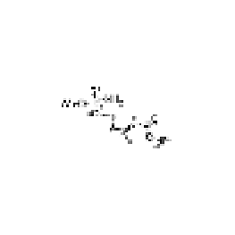 COP(N)(=S)OCCC(C)=CC(=O)OC(C)C